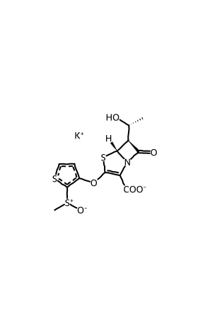 C[C@@H](O)[C@H]1C(=O)N2C(C(=O)[O-])=C(Oc3ccsc3[S+](C)[O-])S[C@H]12.[K+]